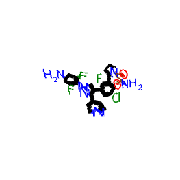 Nc1cc(F)c(-n2cc(-c3cc(Cl)cc(C4CCCN4S(N)(=O)=O)c3F)c(-c3ccncc3)n2)c(F)c1